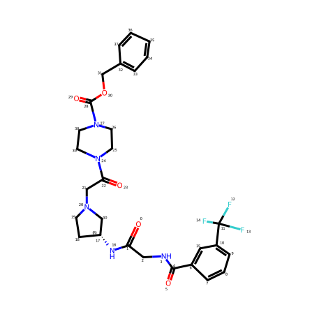 O=C(CNC(=O)c1cccc(C(F)(F)F)c1)N[C@@H]1CCN(CC(=O)N2CCN(C(=O)OCc3ccccc3)CC2)C1